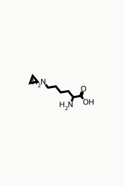 C1CC1.NCCCCC(N)C(=O)O